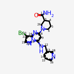 NC(=O)C1CCCN(c2cc(NCc3cccnc3)n3ncc(Br)c3n2)C1